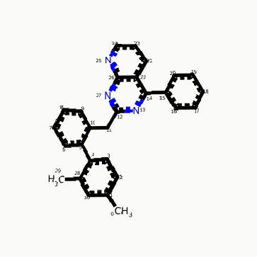 Cc1ccc(-c2ccccc2Cc2nc(-c3ccccc3)c3cccnc3n2)c(C)c1